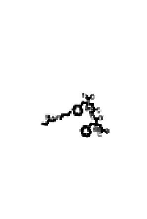 CCC[CH2][SnH2+4][CH2]CCC.O=C([O-])CC(O)(Cc1ccccc1)C(=O)[O-].O=C([O-])CC(O)(Cc1ccccc1)C(=O)[O-]